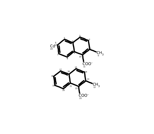 Cc1ccc2ccccc2c1C(=O)[O-].Cc1ccc2ccccc2c1C(=O)[O-].[Cd+2]